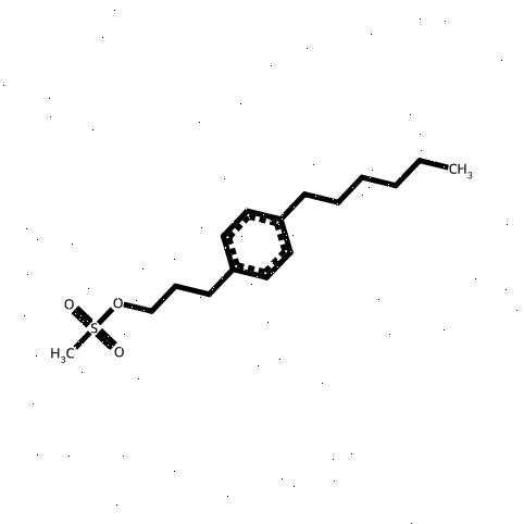 CCCCCCc1ccc(CCCOS(C)(=O)=O)cc1